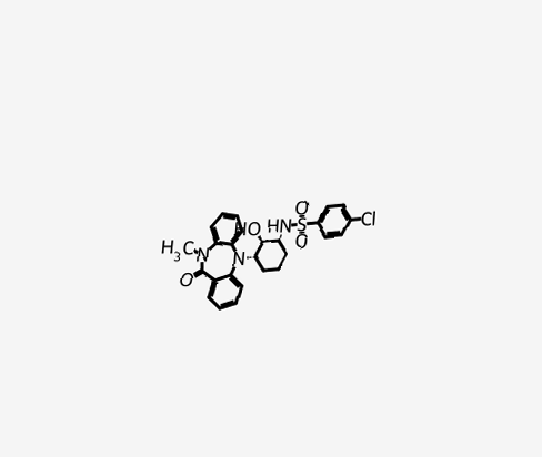 CN1C(=O)c2ccccc2N([C@H]2CCC[C@@H](NS(=O)(=O)c3ccc(Cl)cc3)[C@@H]2O)c2ccccc21